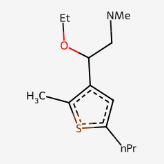 CCCc1cc(C(CNC)OCC)c(C)s1